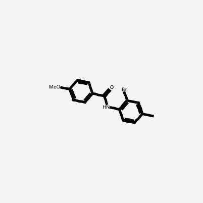 COc1ccc(C(=O)Nc2ccc(C)cc2Br)cc1